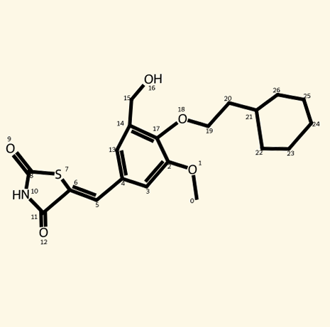 COc1cc(/C=C2\SC(=O)NC2=O)cc(CO)c1OCCC1CCCCC1